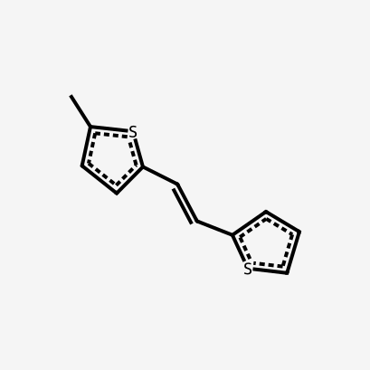 Cc1ccc(/C=C/c2cccs2)s1